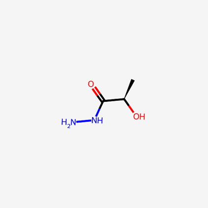 C[C@@H](O)C(=O)NN